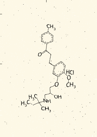 CCC(C)(C)NCC(O)COc1cc(CCC(=O)c2ccc(C)cc2)ccc1OC.Cl